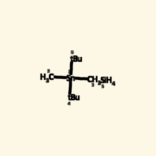 C[C](C)(C)[Sn]([CH3])([CH3])[C](C)(C)C.[SiH4]